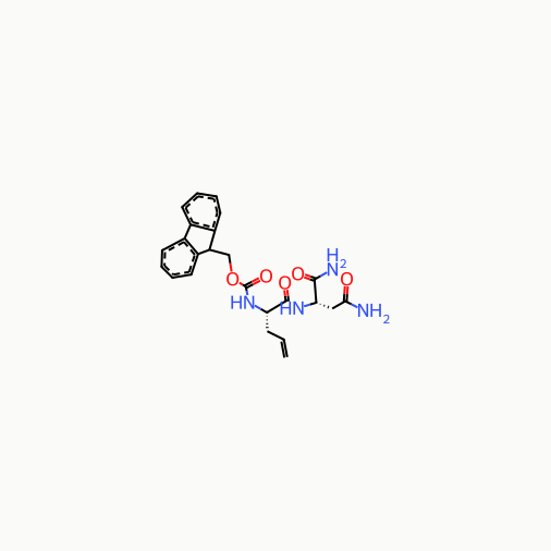 C=CC[C@H](NC(=O)OCC1c2ccccc2-c2ccccc21)C(=O)N[C@@H](CC(N)=O)C(N)=O